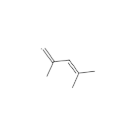 [CH]=C(C)C=C(C)C